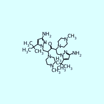 CN1CCN(C(Cn2nc(N)cc2C(C)(C)C)C(=O)C(Cn2nc(N)cc2C(C)(C)C)N2CCN(C)CC2)CC1